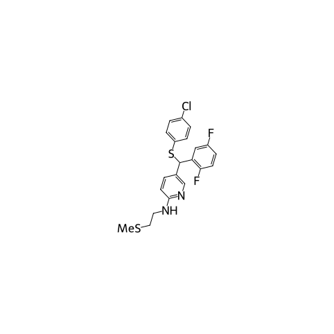 CSCCNc1ccc(C(Sc2ccc(Cl)cc2)c2cc(F)ccc2F)cn1